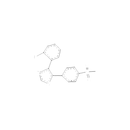 CS(=O)(=O)c1ccc(-c2scnc2-c2ccccc2F)cc1